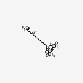 C[C@]12CCC(=O)C[C@@H]1C[C@@H](CCCCCCCCCCC[S+]([O-])CCCC(F)(F)C(F)(F)F)[C@@H]1[C@@H]2CC[C@]2(C)[C@@H](O)CC[C@@H]12